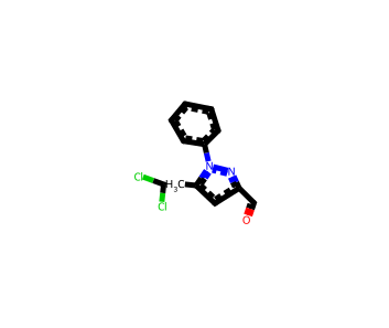 Cc1cc(C=O)nn1-c1ccccc1.ClCCl